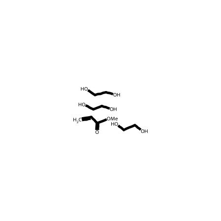 C=CC(=O)OC.OCCO.OCCO.OCCO